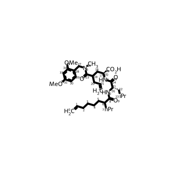 C=CCCCCC(CCC)C(=O)N[C@@H](CC(C)C)C(=O)N[C@@H](CC(CC=C)C(=O)N(C)Cc1ccc(OC)cc1OC)C(=O)O